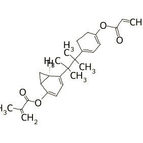 C=CC(=O)OC1=CC=C(C(C)(C)C(C)(C)C2=CC=C(OC(=O)C(=C)C)C3C[C@@H]23)CC1